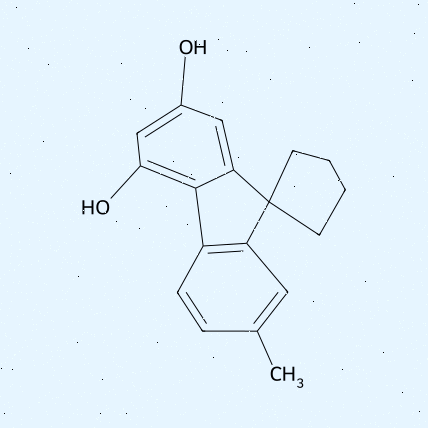 Cc1ccc2c(c1)C1(CCCC1)c1cc(O)cc(O)c1-2